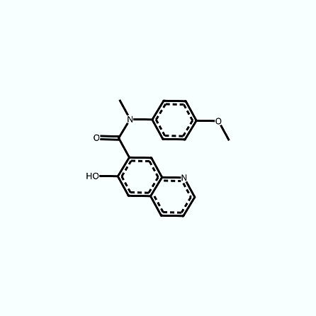 COc1ccc(N(C)C(=O)c2cc3ncccc3cc2O)cc1